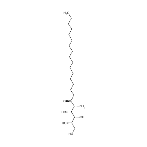 CCCCCCCCCCCCCCCCC(=O)[C@H](N)[C@@H](O)[C@H](O)[C@H](O)CO